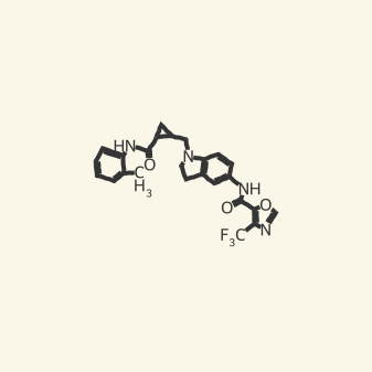 Cc1ccccc1NC(=O)C1CC1CN1CCc2cc(NC(=O)c3ocnc3C(F)(F)F)ccc21